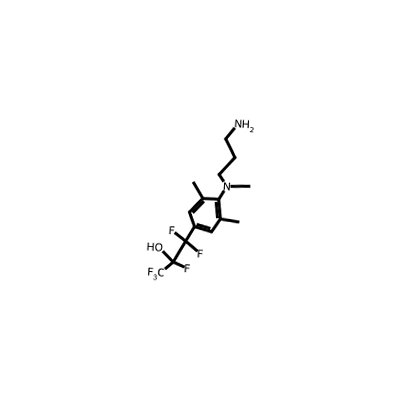 Cc1cc(C(F)(F)C(O)(F)C(F)(F)F)cc(C)c1N(C)CCCN